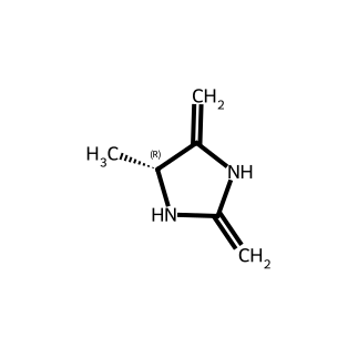 C=C1NC(=C)[C@@H](C)N1